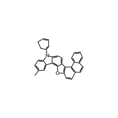 Cc1ccc2c(c1)c1c3oc4ccc5ccc6ccccc6c5c4c3ccc1n2C1=CC=CCC1